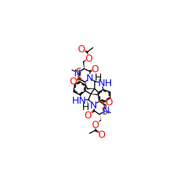 CC(=O)OC[C@]12SS[C@@]3(C[C@]4([C@]56C[C@@]78SS[C@@](COC(C)=O)(C(=O)N7[C@H]5Nc5ccccc56)N(C)C8=O)c5ccccc5N[C@@H]4N3C1=O)C(=O)N2C